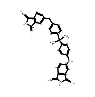 CC(C)(c1ccc(Cc2ccc3c(c2)C(=O)OC3=O)cc1)c1ccc(Oc2ccc3c(c2)C(=O)OC3=O)cc1